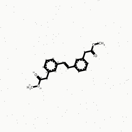 COC(=O)Cc1cccc(C=Cc2cccc(CC(=O)OC)c2)c1